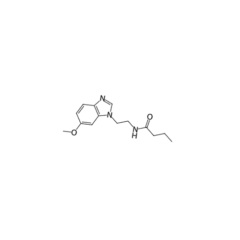 CCCC(=O)NCCn1cnc2ccc(OC)cc21